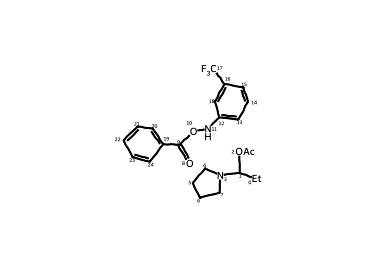 CCC(OC(C)=O)N1CCCC1.O=C(ONc1cccc(C(F)(F)F)c1)c1ccccc1